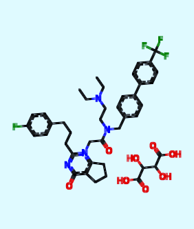 CCN(CC)CCN(Cc1ccc(-c2ccc(C(F)(F)F)cc2)cc1)C(=O)Cn1c(CCCc2ccc(F)cc2)nc(=O)c2c1CCC2.O=C(O)C(O)C(O)C(=O)O